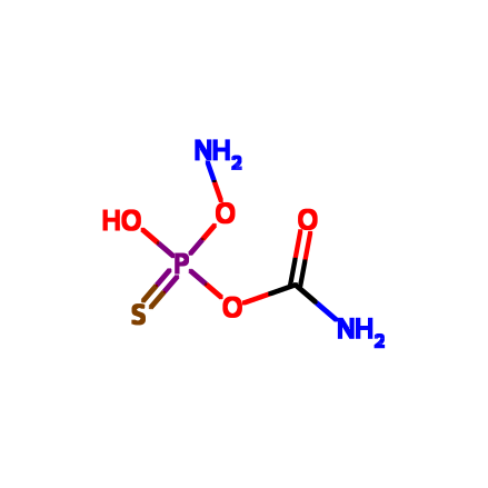 NOP(O)(=S)OC(N)=O